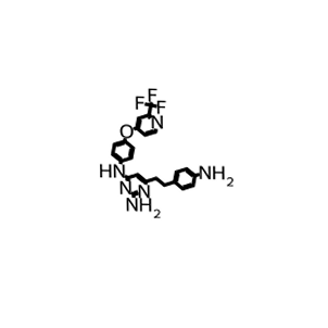 Nc1ccc(CCc2cc(Nc3ccc(Oc4ccnc(C(F)(F)F)c4)cc3)nc(N)n2)cc1